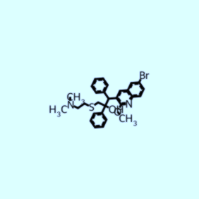 COc1nc2ccc(Br)cc2cc1C(c1ccccc1)C(O)(CSCCN(C)C)c1ccccc1